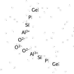 [Al+3].[Al+3].[Ge].[Ge].[O-2].[O-2].[O-2].[P].[P].[Si].[Si]